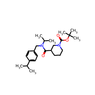 CC(C)c1ccc(CN(C(=O)C2CCCN(C(=O)OC(C)(C)C)C2)C(C)C)cc1